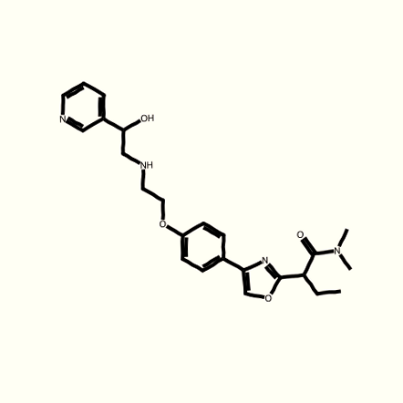 CCC(C(=O)N(C)C)c1nc(-c2ccc(OCCNCC(O)c3cccnc3)cc2)co1